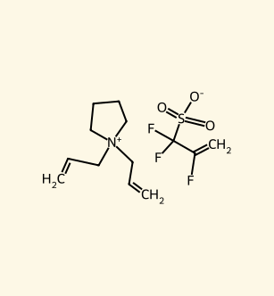 C=C(F)C(F)(F)S(=O)(=O)[O-].C=CC[N+]1(CC=C)CCCC1